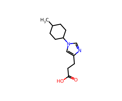 CC1CCC(n2cnc(CCC(=O)O)c2)CC1